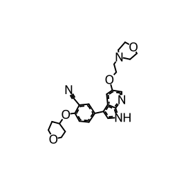 N#Cc1cc(-c2c[nH]c3ncc(OCCN4CCOCC4)cc23)ccc1OC1CCOCC1